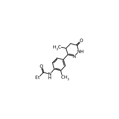 CCC(=O)Nc1ccc(C2=NNC(=O)CC2C)cc1C